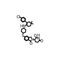 CC1(C)CCC(NC2CCC(Sc3ccc4c(c3)CN(C3CCC(=O)NC3=O)C4=O)CC2)=C(c2ccc(Cl)cc2)C1